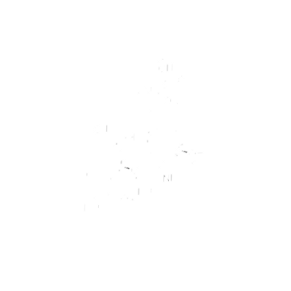 CNC1[C@H](O[C@H]2C(C(=O)O)OCC(C)[C@@H]2O)OC(COS(=O)(=O)O)C[C@H]1O